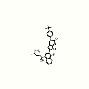 C[C@H](N)CCC(O)c1cc(-c2cc3cn(-c4ccc(C(C)(C)C)cc4)c(=O)nc3[nH]2)c(F)c2c1C=CCC2